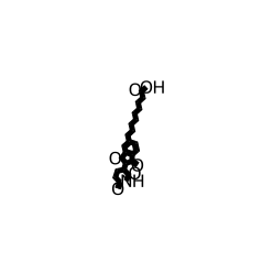 O=C(O)CCCCCCCCc1ccc2c(c1)C(=O)C(C1CCC(=O)NC1=O)C2=O